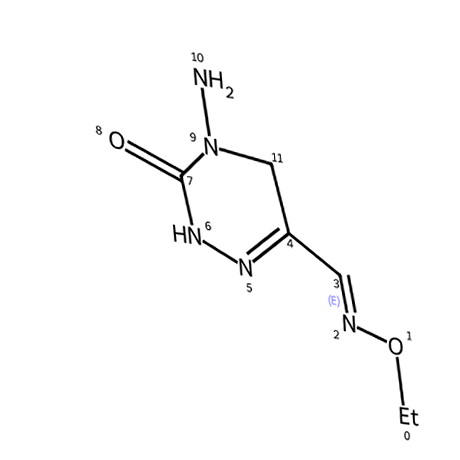 CCO/N=C/C1=NNC(=O)N(N)C1